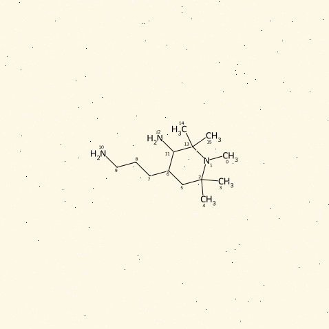 CN1C(C)(C)CC(CCCN)C(N)C1(C)C